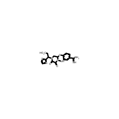 CCCN1C(=O)C(=O)N(C(CC(=O)O)c2nccs2)CC1Oc1ccc(C(=N)N)cc1